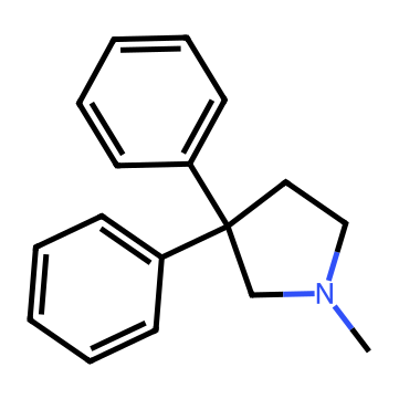 CN1CCC(c2ccccc2)(c2ccccc2)C1